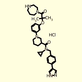 CC(C)(Oc1cccc(N2CCCC(C(=O)N(Cc3ccc(-c4cn[nH]c4)cc3)C3CC3)C2)c1)C(=O)N1CCCNCC1.Cl